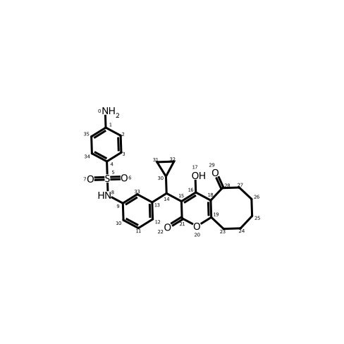 Nc1ccc(S(=O)(=O)Nc2cccc(C(c3c(O)c4c(oc3=O)CCCCCC4=O)C3CC3)c2)cc1